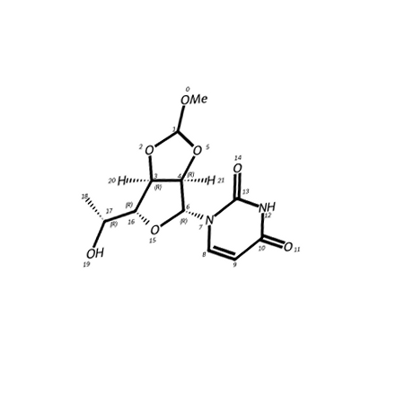 COC1O[C@H]2[C@@H](O1)[C@H](n1ccc(=O)[nH]c1=O)O[C@@H]2[C@@H](C)O